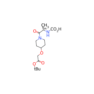 C[C@@H](NC(=O)O)C(=O)N1CCC(OCC(=O)OC(C)(C)C)CC1